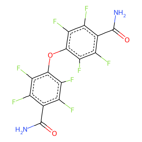 NC(=O)c1c(F)c(F)c(Oc2c(F)c(F)c(C(N)=O)c(F)c2F)c(F)c1F